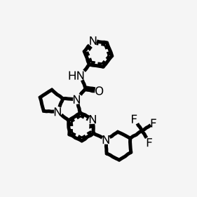 O=C(Nc1cccnc1)N1c2nc(N3CCCC(C(F)(F)F)C3)ccc2N2CCCC21